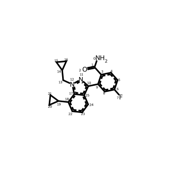 NC(=O)c1ccc(F)cc1-c1nn(CC2CC2)c2c(C3CC3)cccc12